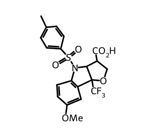 COc1ccc2c(c1)C1(C(F)(F)F)OCC(C(=O)O)C1N2S(=O)(=O)c1ccc(C)cc1